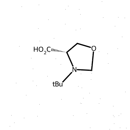 CC(C)(C)N1COC[C@H]1C(=O)O